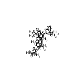 CC(C)C1=C2[C@H]3CCC4[C@@]5(C)CC[C@H](OC(=O)CC(C)(C)C(=O)O)C(C)(C)C5CC[C@@]4(C)[C@]3(C)CC[C@@]2(CCN(CCN(C)C)Cc2ncco2)CC1=O